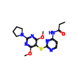 CCC(=O)Nc1ccnc(Sc2c(OC)nc(N3CCCC3)nc2OC)n1